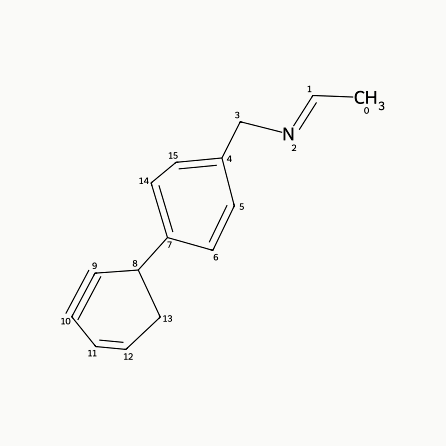 C/C=N/Cc1ccc(C2C#CC=CC2)cc1